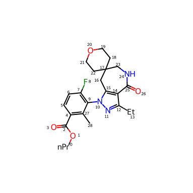 CCCOC(=O)c1ccc(F)c(-n2nc(CC)c3c2CC2(CCOCC2)CNC3=O)c1C